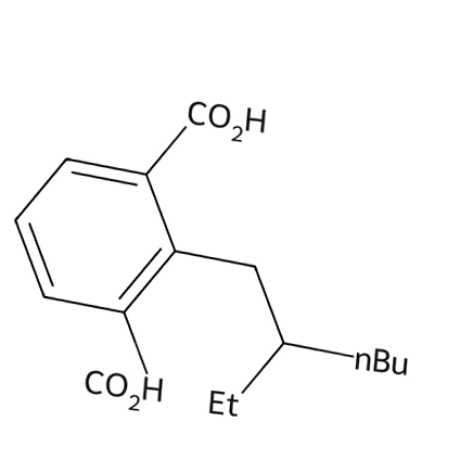 CCCCC(CC)Cc1c(C(=O)O)cccc1C(=O)O